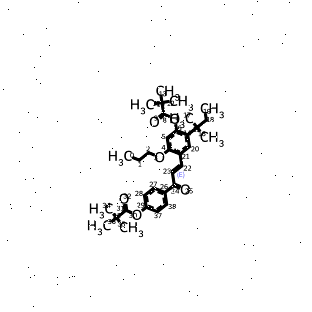 CCCOc1cc(OC(=O)C(C)(C)C)c(C(C)(C)CC)cc1/C=C/C(=O)c1ccc(OC(=O)C(C)(C)C)cc1